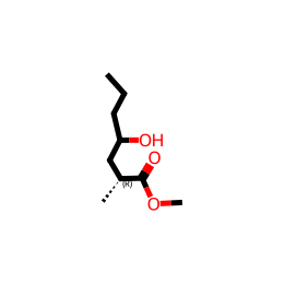 CCCC(O)C[C@@H](C)C(=O)OC